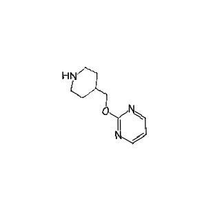 c1cnc(OCC2CCNCC2)nc1